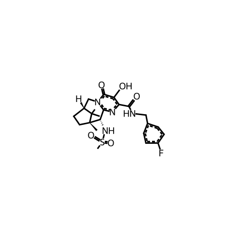 CC1(C)[C@@H]2CC[C@@]1(C)[C@@H](NS(C)(=O)=O)c1nc(C(=O)NCc3ccc(F)cc3)c(O)c(=O)n1C2